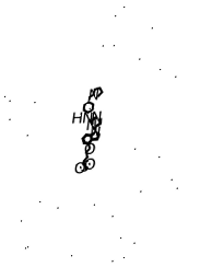 CS(=O)(=O)CCCOc1cccc2c1ccn2-c1ccnc(N[C@H]2CC[C@H](CN3CCCC3)CC2)n1